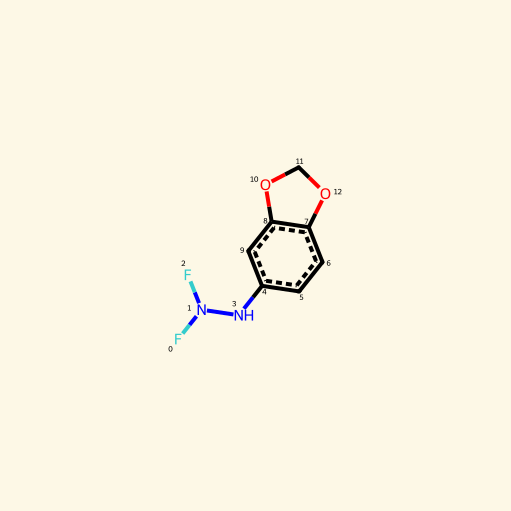 FN(F)Nc1ccc2c(c1)OCO2